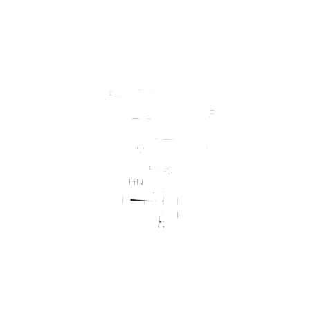 Fc1cccc(C(OC(=S)N[C@H]2CN3CCC2CC3)c2cccc(F)c2)c1